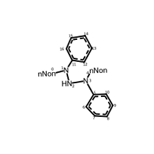 CCCCCCCCCN(NN(CCCCCCCCC)c1ccccc1)c1ccccc1